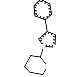 [c]1ccccc1-c1cnn(C2CCCCO2)c1